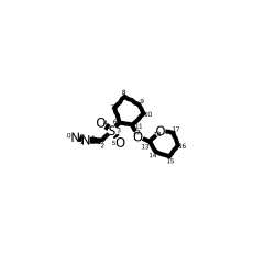 [N-]=[N+]=CS(=O)(=O)C1CCCCC1OC1CCCCO1